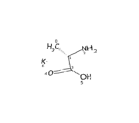 C[C@H](N)C(=O)O.[K]